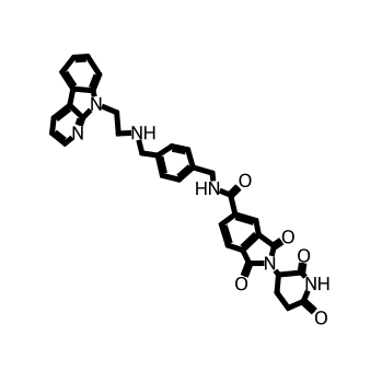 O=C1CCC(N2C(=O)c3ccc(C(=O)NCc4ccc(CNCCn5c6ccccc6c6cccnc65)cc4)cc3C2=O)C(=O)N1